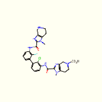 Cn1c(C(=O)Nc2cccc(-c3cccc(NC(=O)c4nc5c(n4C)CCN(C(=O)O)C5)c3Cl)c2F)nc2c1CCNC2